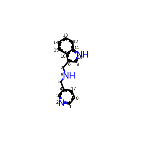 c1cncc(CNCc2c[nH]c3ccccc23)c1